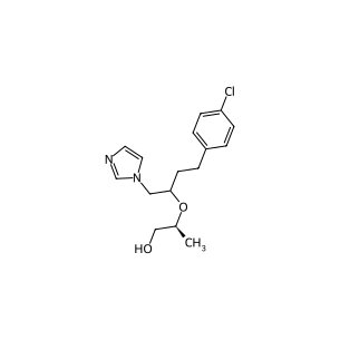 C[C@@H](CO)OC(CCc1ccc(Cl)cc1)Cn1ccnc1